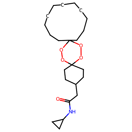 O=C(CC1CCC2(CC1)OOC1(CCCCCCCCCCC1)OO2)NC1CC1